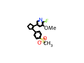 COc1cc(C2=C(c3ccc(S(C)(=O)=O)cc3)CCC2)cnc1F